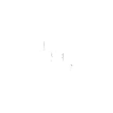 CCC(O)c1ccc(C(=O)OC)cc1